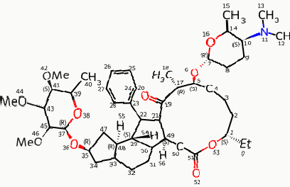 CC[C@H]1CCC[C@H](O[C@H]2CC[C@H](N(C)C)C(C)O2)[C@@H](C)C(=O)C2C(c3ccccc3)[C@@H]3C(CCC4C[C@@H](O[C@@H]5OC(C)[C@H](OC)C(OC)C5OC)C[C@H]43)[C@@H]2CC(=O)O1